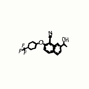 CC(O)c1ccc2ccc(OC3CCC(C(F)(F)F)CC3)c(C#N)c2c1